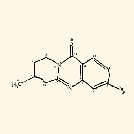 CC1CCn2c(nc3cc(Br)ccc3c2=O)C1